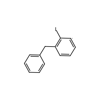 Ic1[c]cccc1Cc1ccccc1